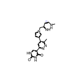 CN/C=C\C(=N)Cn1ccc(-c2cc(-c3c[nH]c(=O)[nH]c3=O)nnc2C)c1